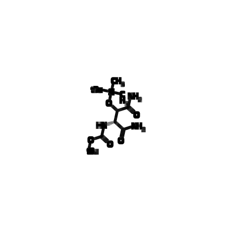 CC(C)(C)OC(=O)N[C@@H](C(N)=O)C(O[Si](C)(C)C(C)(C)C)C(N)=O